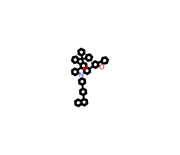 c1ccc(C2(c3ccccc3)c3ccccc3-c3c(-c4ccccc4N(c4ccc(-c5ccc(-c6cccc7ccccc67)cc5)cc4)c4ccc(-c5ccc6c(c5)oc5ccccc56)cc4)cccc32)cc1